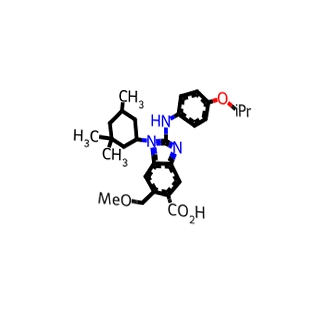 COCc1cc2c(cc1C(=O)O)nc(Nc1ccc(OC(C)C)cc1)n2C1CC(C)CC(C)(C)C1